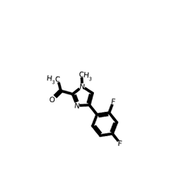 CC(=O)c1nc(-c2ccc(F)cc2F)cn1C